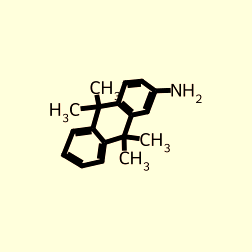 CC1(C)c2ccccc2C(C)(C)c2cc(N)ccc21